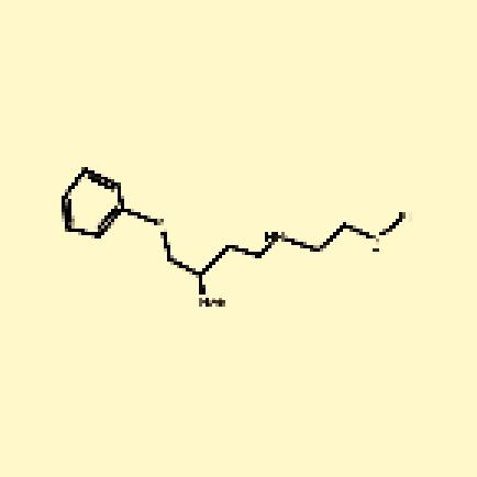 CCNCCNCC[C@H](CSc1ccccc1)NC